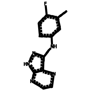 Cc1cc(Nc2n[nH]c3nccnc23)ccc1F